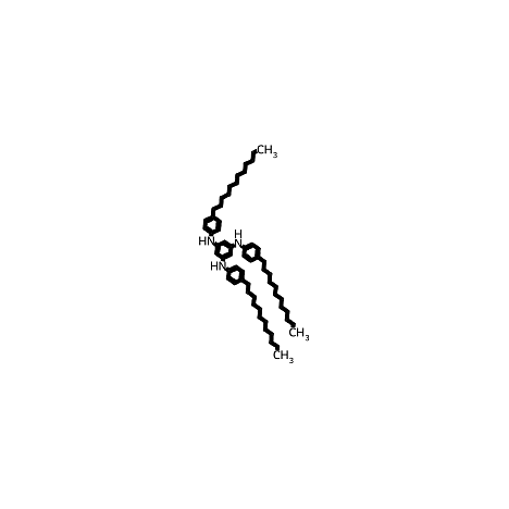 CCCCCCCCCCCCc1ccc(Nc2cc(Nc3ccc(CCCCCCCCCCCC)cc3)cc(Nc3ccc(CCCCCCCCCCCC)cc3)c2)cc1